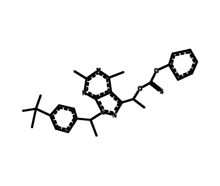 Cc1nc(C)c2c(C(C)OC(=S)Oc3ccccc3)nn(C(C)c3ccc(C(C)(C)C)cc3)c2n1